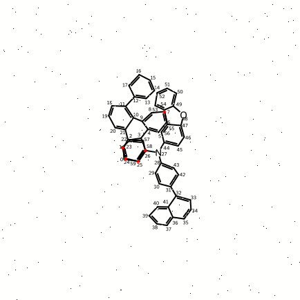 c1ccc(-c2ccccc2-c2c(-c3ccccc3)cccc2-c2cccc(N(c3ccc(-c4cccc5ccccc45)cc3)c3ccc4oc5ccccc5c4c3)c2)cc1